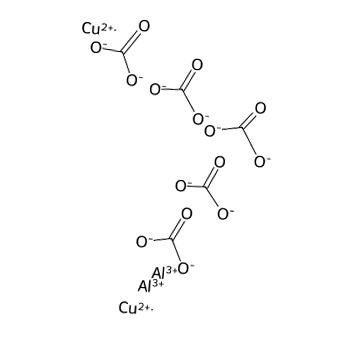 O=C([O-])[O-].O=C([O-])[O-].O=C([O-])[O-].O=C([O-])[O-].O=C([O-])[O-].[Al+3].[Al+3].[Cu+2].[Cu+2]